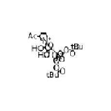 CC(=O)c1ccc[n+]([C@@H]2O[C@H](COP(=O)(OCOC(=O)C(C)(C)C)OCOC(=O)C(C)(C)C)[C@H](O)C2O)c1